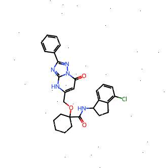 O=C(NC1CCc2c(Cl)cccc21)C1(OCc2cc(=O)n3nc(-c4ccccc4)nc3[nH]2)CCCCC1